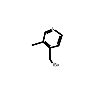 Cc1cnccc1CC(C)(C)C